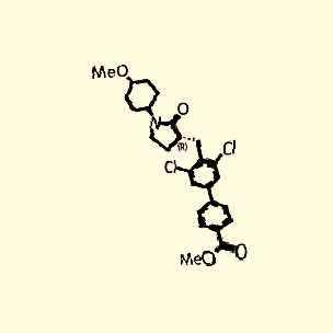 COC(=O)c1ccc(-c2cc(Cl)c(C[C@@H]3CCN(C4CCC(OC)CC4)C3=O)c(Cl)c2)cc1